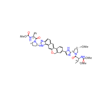 COC[C@H]1C[C@@H](c2ncc(-c3ccc4c(c3)COc3cc5c(ccc6nc([C@@H]7CC[C@H](C)N7C(=O)[C@@H](NC(=O)OC)C(C)C)[nH]c65)cc3-4)[nH]2)N(C(=O)C(NC(=O)OC)[C@@H](C)OC)C1